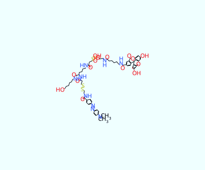 CN(C)c1ccc(/N=N/c2ccc(C(=O)NCCSSCCC(=O)NC(CCCCNC(=O)CCSP(=O)(O)OCCNC(=O)CCCCCNC(=O)c3ccc4c(c3)C(=O)OC43c4ccc(O)cc4Oc4cc(O)ccc43)C(=O)NCCCCCCO)cc2)cc1